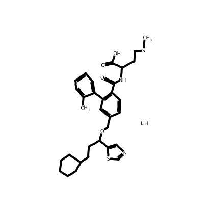 CSCCC(NC(=O)c1ccc(COC(CCC2CCCCC2)c2cncs2)cc1-c1ccccc1C)C(=O)O.[LiH]